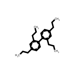 CCCc1[c]c(CCC)c(-c2ccc(CCC)cc2CCC)cc1